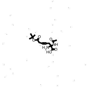 CC(=O)NC(N)(CC#CCC(=O)OC(C)(C)C)C(=O)O